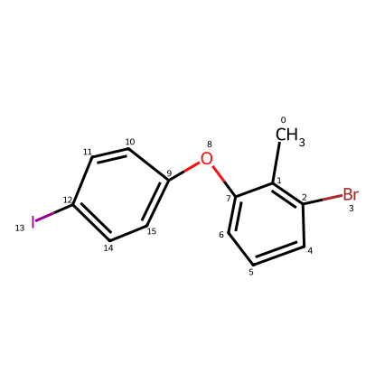 Cc1c(Br)cccc1Oc1ccc(I)cc1